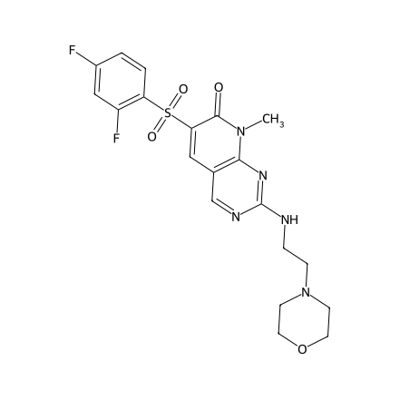 Cn1c(=O)c(S(=O)(=O)c2ccc(F)cc2F)cc2cnc(NCCN3CCOCC3)nc21